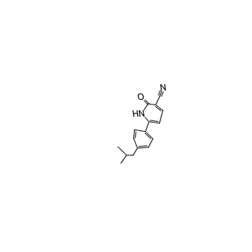 CC(C)Cc1ccc(-c2ccc(C#N)c(=O)[nH]2)cc1